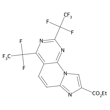 CCOC(=O)c1cn2c(ccc3c(C(F)(F)C(F)(F)F)nc(C(F)(F)C(F)(F)F)nc32)n1